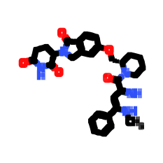 CN/C(=C\C(=N)C(=O)N1CCCC[C@H]1COc1ccc2c(c1)CN(C1CCC(=O)NC1=O)C2=O)c1ccccc1